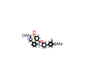 COc1ncc(-c2cccc(N(C[C@H]3CC[C@H](c4ccc(OC)c(C)c4)CC3)C(=O)[C@H]3CC[C@@H](O)CC3)c2)s1